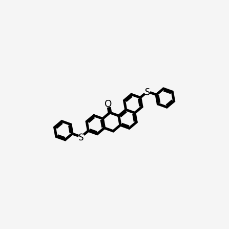 O=C1c2ccc(Sc3ccccc3)cc2Cc2ccc3cc(Sc4ccccc4)ccc3c21